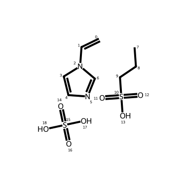 C=Cn1ccnc1.CCCS(=O)(=O)O.O=S(=O)(O)O